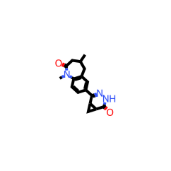 CC1CC(=O)N(C)c2ccc(C3=NNC(=O)C4CC34)cc2C1